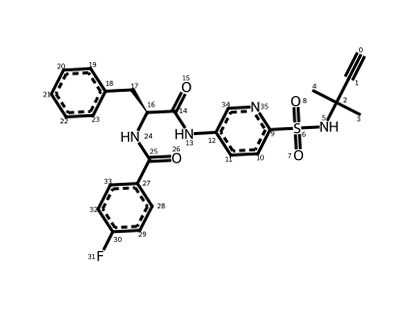 C#CC(C)(C)NS(=O)(=O)c1ccc(NC(=O)[C@H](Cc2ccccc2)NC(=O)c2ccc(F)cc2)cn1